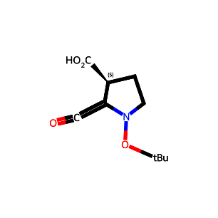 CC(C)(C)ON1CC[C@H](C(=O)O)C1=C=O